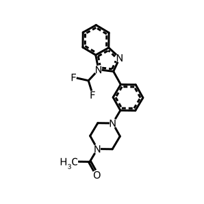 CC(=O)N1CCN(c2cccc(-c3nc4ccccc4n3C(F)F)c2)CC1